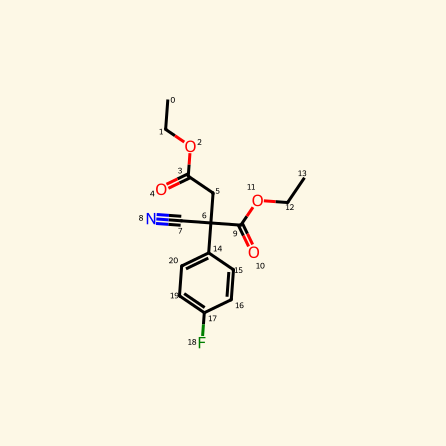 CCOC(=O)CC(C#N)(C(=O)OCC)c1ccc(F)cc1